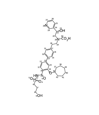 O=C(NS(=O)(=O)CCCO)c1ccc(-c2ccc(CCN(C[C@H](O)c3cccnc3)C(=O)O)cc2)cc1OC1CCCCCC1